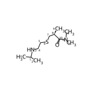 CC(C)NCCSC[C@@H](C)C(=O)N(C)C